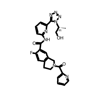 C[C@H](CO)n1nnnc1-c1cccc(NC(=O)c2cc3c(cc2F)CCN(C(=O)c2ccccn2)C3)n1